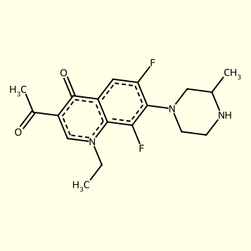 CCn1cc(C(C)=O)c(=O)c2cc(F)c(N3CCNC(C)C3)c(F)c21